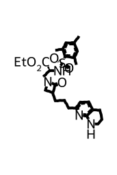 CCOC(=O)[C@H](CN1CC(CCCc2ccc3c(n2)NCCC3)C1=O)NS(=O)(=O)c1c(C)cc(C)cc1C